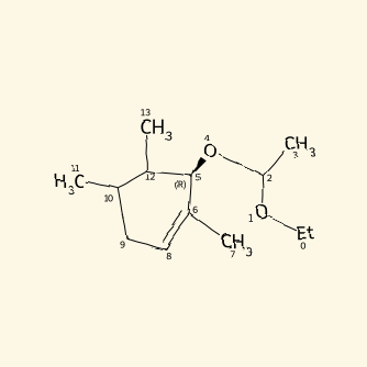 CCOC(C)O[C@H]1C(C)=CCC(C)C1C